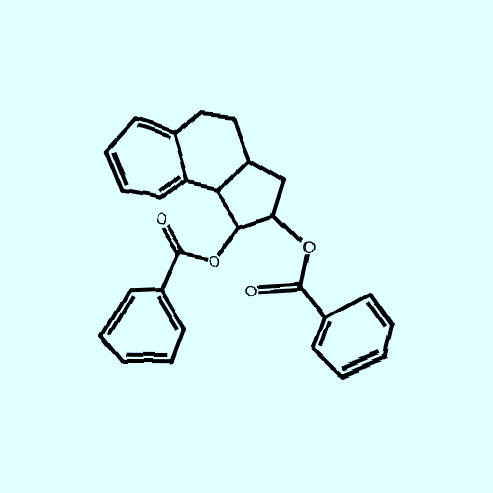 O=C(OC1CC2CCc3ccccc3C2C1OC(=O)c1ccccc1)c1ccccc1